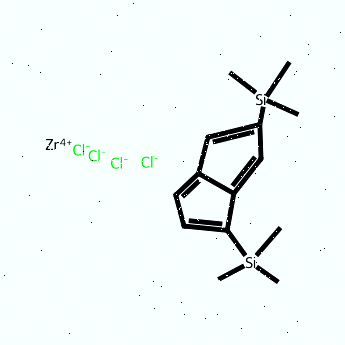 C[Si](C)(C)C1=CC2=CC=C([Si](C)(C)C)C2=C1.[Cl-].[Cl-].[Cl-].[Cl-].[Zr+4]